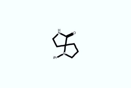 CC(C)N1CCCC12CCNC2=O